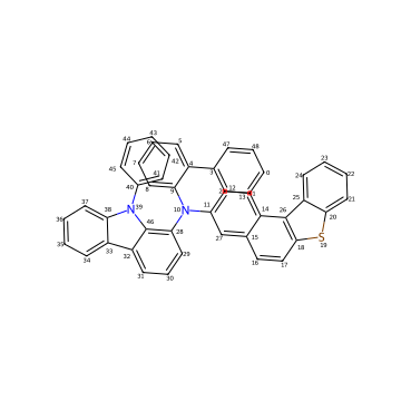 c1ccc(-c2ccccc2N(c2ccc3c(ccc4sc5ccccc5c43)c2)c2cccc3c4ccccc4n(-c4ccccc4)c23)cc1